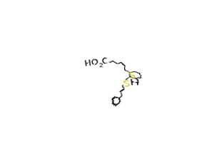 O=C(O)CCC/C=C\C[C@H]1C2CC[C@H](S2)[C@H]1CSC/C=C/Cc1ccccc1